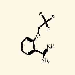 N=C(N)c1ccccc1OCC(F)(F)F